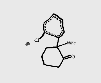 Br.CNC1(c2ccccc2Cl)CCCCC1=O